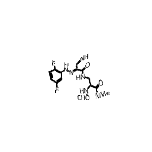 CNC(=O)C(CNC(=O)/C(C=N)=N/Nc1cc(F)ccc1F)NC=O